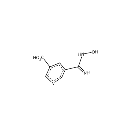 N=C(NO)c1cncc(C(=O)O)c1